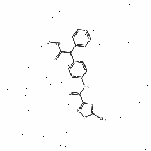 Cc1cc(C(=O)Nc2ccc(C(C(=O)NO)c3ccccc3)cc2)no1